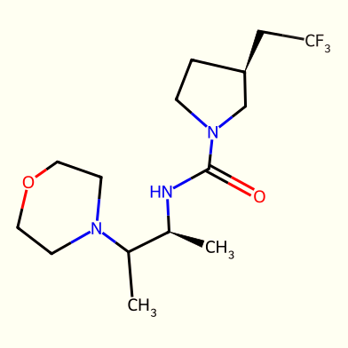 CC([C@H](C)NC(=O)N1CC[C@@H](CC(F)(F)F)C1)N1CCOCC1